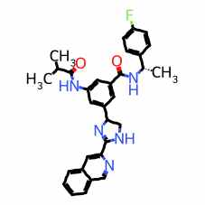 CC(C)C(=O)Nc1cc(C(=O)N[C@@H](C)c2ccc(F)cc2)cc(C2CNC(c3cc4ccccc4cn3)=N2)c1